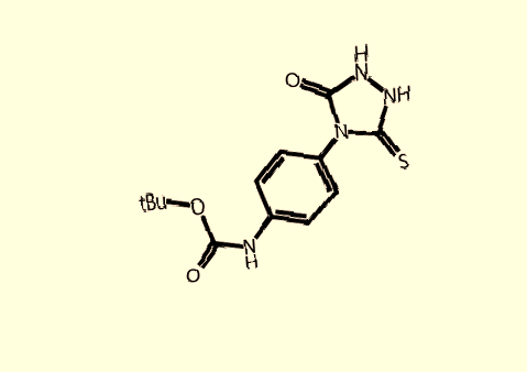 CC(C)(C)OC(=O)Nc1ccc(-n2c(=O)[nH][nH]c2=S)cc1